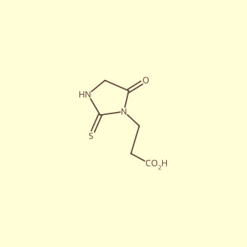 O=C(O)CCN1C(=O)CNC1=S